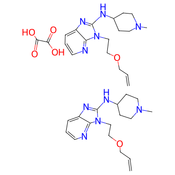 C=CCOCCn1c(NC2CCN(C)CC2)nc2cccnc21.C=CCOCCn1c(NC2CCN(C)CC2)nc2cccnc21.O=C(O)C(=O)O